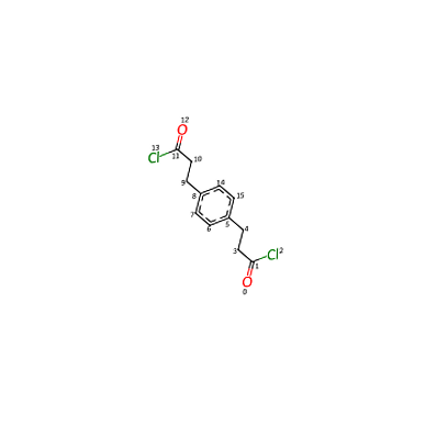 O=C(Cl)CCc1ccc(CCC(=O)Cl)cc1